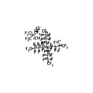 C[P+](C(F)(F)F)(C(F)(F)F)C(F)(F)F.FC(F)(F)C(F)(F)C(F)(F)C(F)(F)[N+](C(F)(F)C(F)(F)C(F)(F)C(F)(F)F)(C(F)(F)C(F)(F)C(F)(F)C(F)(F)F)C(F)(F)C(F)(F)C(F)(F)C(F)(F)F.[Cl-].[Cl-]